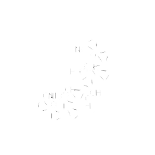 CC1(C)c2cc3c(cc2-c2cc4c(cc21)-c1c(cc(-c2cccc5c2oc2c(C#N)cccc25)c2ccccc12)C4(C)C)C(C)(C)c1cc(-c2cccc4c2oc2c(C#N)cccc24)c2ccccc2c1-3